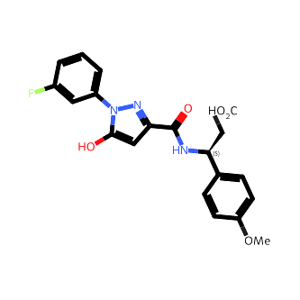 COc1ccc([C@H](CC(=O)O)NC(=O)c2cc(O)n(-c3cccc(F)c3)n2)cc1